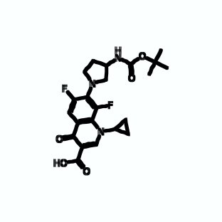 CC(C)(C)OC(=O)NC1CCN(c2c(F)cc3c(=O)c(C(=O)O)cn(C4CC4)c3c2F)C1